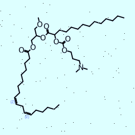 CCCCC/C=C\C/C=C\CCCCCCCC(=O)OCC(COC)OC(=O)C(CCCCCCCCCCCC)OC(=O)OCCCN(C)C